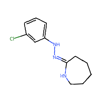 Clc1cccc(NN=C2CCCCCN2)c1